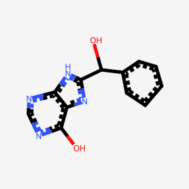 Oc1ncnc2[nH]c(C(O)c3ccccc3)nc12